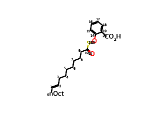 CCCCCCCCC=CCCCCCCCC(=O)SOc1ccccc1C(=O)O